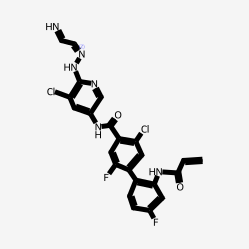 C=CC(=O)Nc1cc(F)ccc1-c1cc(Cl)c(C(=O)Nc2cnc(N/N=C\C=N)c(Cl)c2)cc1F